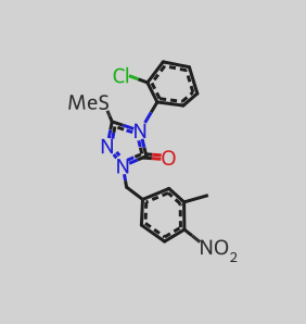 CSc1nn(Cc2ccc([N+](=O)[O-])c(C)c2)c(=O)n1-c1ccccc1Cl